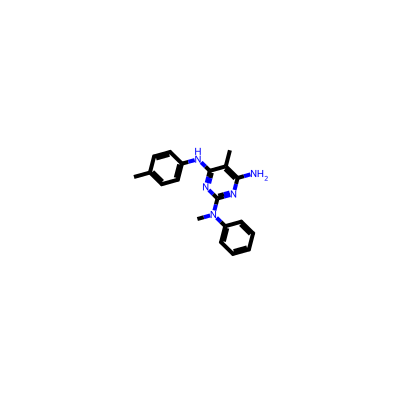 Cc1ccc(Nc2nc(N(C)c3ccccc3)nc(N)c2C)cc1